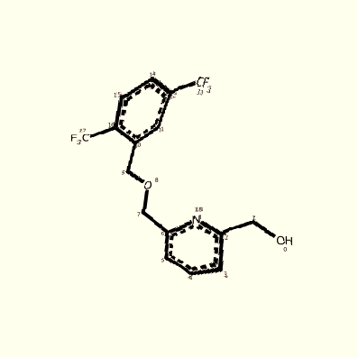 OCc1cccc(COCc2cc(C(F)(F)F)ccc2C(F)(F)F)n1